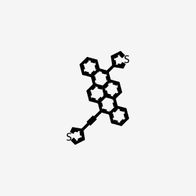 C(#Cc1c2ccccc2c2ccc3c(-c4ccsc4)c4ccccc4c4ccc1c2c34)c1ccsc1